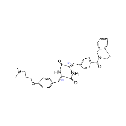 CN(C)CCCOc1ccc(/C=c2\[nH]c(=O)/c(=C/c3ccc(C(=O)N4CCc5ccccc5C4)cc3)[nH]c2=O)cc1